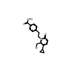 COC(=O)c1ccc(CCn2c(CBr)c(C3CC3)ccc2=O)cc1